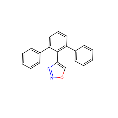 c1ccc(-c2cccc(-c3ccccc3)c2-c2conn2)cc1